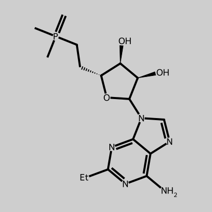 C=P(C)(C)CC[C@H]1OC(n2cnc3c(N)nc(CC)nc32)[C@H](O)[C@@H]1O